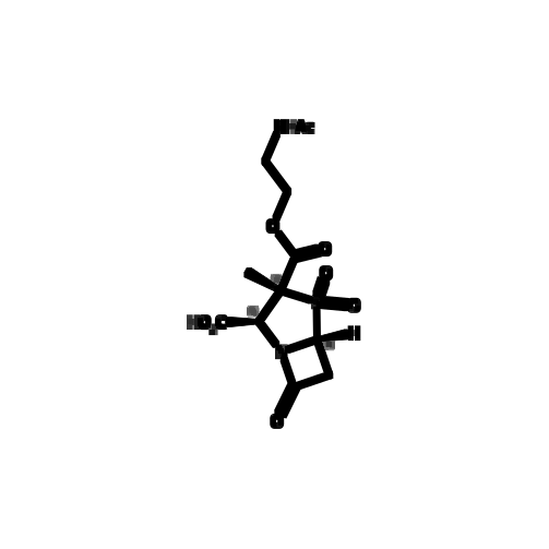 CC(=O)NCCOC(=O)[C@@]1(C)[C@H](C(=O)O)N2C(=O)C[C@H]2S1(=O)=O